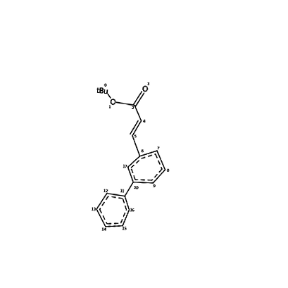 CC(C)(C)OC(=O)C=Cc1cccc(-c2ccccc2)c1